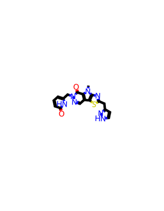 Cn1c2nc(Cc3cc[nH]n3)sc2c2cnn(Cc3cccc(=O)[nH]3)c(=O)c21